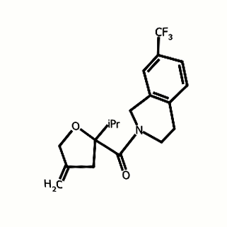 C=C1COC(C(=O)N2CCc3ccc(C(F)(F)F)cc3C2)(C(C)C)C1